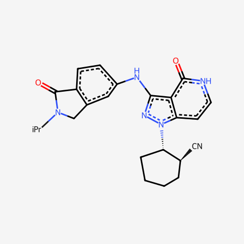 CC(C)N1Cc2cc(Nc3nn([C@H]4CCCC[C@@H]4C#N)c4cc[nH]c(=O)c34)ccc2C1=O